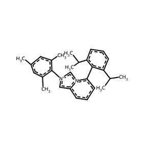 Cc1cc(C)c(-[n+]2cc3cccc(-c4c(C(C)C)cccc4C(C)C)n3c2)c(C)c1